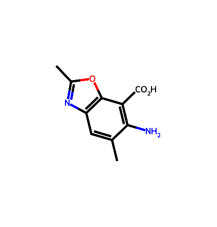 Cc1nc2cc(C)c(N)c(C(=O)O)c2o1